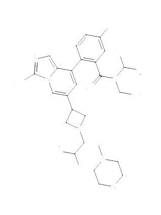 CCN(C(=O)c1cc(F)ccc1-c1cc(C2CN([C@H](CN3CCNCC3)C(C)C)C2)cn2c(C)ncc12)C(C)C